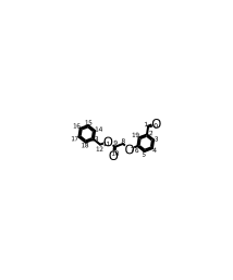 O=Cc1cccc(OCC(=O)OCc2ccccc2)c1